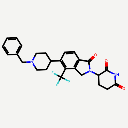 O=C1CCC(N2Cc3c(ccc(C4CCN(Cc5ccccc5)CC4)c3C(F)(F)F)C2=O)C(=O)N1